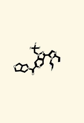 C=Cc1ncc(-c2nn(CC(F)(F)F)c3cc(C(=O)N4CC5COCC5C4)ncc23)n1/C=C/F